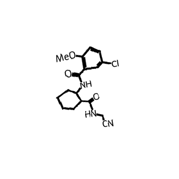 COc1ccc(Cl)cc1C(=O)NC1CCCCC1C(=O)NCC#N